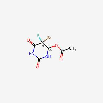 CC(=O)O[C@H]1NC(=O)NC(=O)[C@]1(F)Br